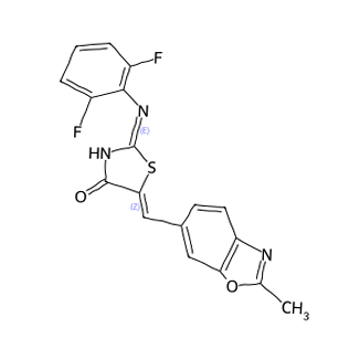 Cc1nc2ccc(/C=C3\S/C(=N/c4c(F)cccc4F)NC3=O)cc2o1